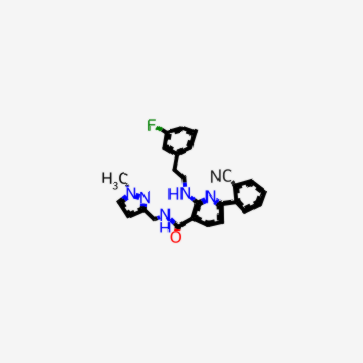 Cn1ccc(CNC(=O)c2ccc(-c3ccccc3C#N)nc2NCCc2cccc(F)c2)n1